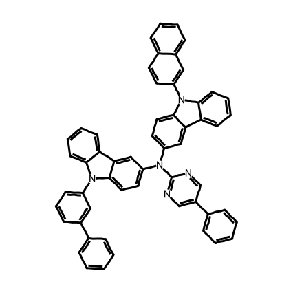 c1ccc(-c2cnc(N(c3ccc4c(c3)c3ccccc3n4-c3cccc(-c4ccccc4)c3)c3ccc4c(c3)c3ccccc3n4-c3ccc4ccccc4c3)nc2)cc1